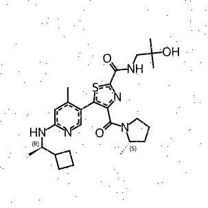 Cc1cc(N[C@H](C)C2CCC2)ncc1-c1sc(C(=O)NCC(C)(C)O)nc1C(=O)N1CCC[C@@H]1C